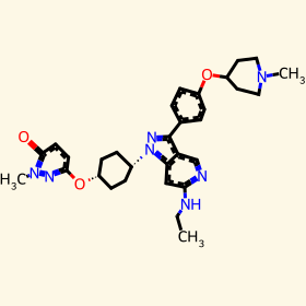 CCNc1cc2c(cn1)c(-c1ccc(OC3CCN(C)CC3)cc1)nn2[C@H]1CC[C@@H](Oc2ccc(=O)n(C)n2)CC1